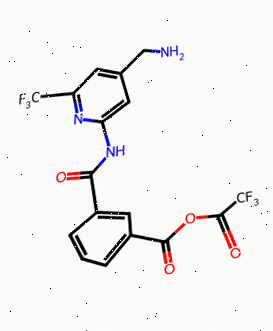 NCc1cc(NC(=O)c2cccc(C(=O)OC(=O)C(F)(F)F)c2)nc(C(F)(F)F)c1